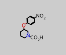 O=C(O)N1CCCC(Oc2ccc([N+](=O)[O-])cc2)C1